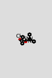 Clc1ccc2c(c1)C1(c3ccccc3-c3ccccc31)c1cccc(-c3nc(-c4ccccc4)nc(-c4ccccc4)n3)c1S2